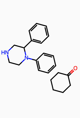 O=C1CCCCC1.c1ccc(C2CNCCN2c2ccccc2)cc1